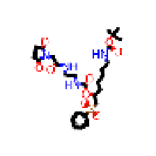 CC(C)(C)OC(=O)NCCCCCC(CS(=O)(=O)c1ccccc1)OC(=O)NCCNC(=O)CN1C(=O)C=CC1=O